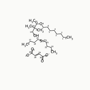 CCCCCCCCOC(C)C(C)(C)CO.CCC[CH2][Sn+2][CH2]CCC.O=C([O-])C=CC(=O)[O-]